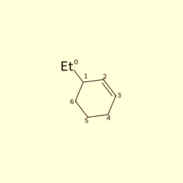 CCC1C=CCCC1